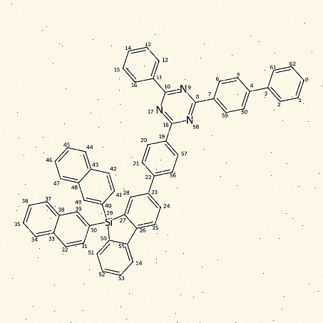 c1ccc(-c2ccc(-c3nc(-c4ccccc4)nc(-c4ccc(-c5ccc6c(c5)[Si](c5ccc7ccccc7c5)(c5ccc7ccccc7c5)c5ccccc5-6)cc4)n3)cc2)cc1